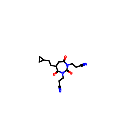 N#CCCN1C(=O)CC(CCC2CC2)C(=O)N(CCC#N)C1=O